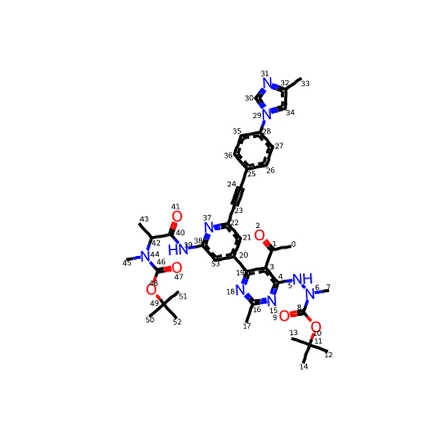 CC(=O)c1c(NN(C)C(=O)OC(C)(C)C)nc(C)nc1-c1cc(C#Cc2ccc(-n3cnc(C)c3)cc2)nc(NC(=O)C(C)N(C)C(=O)OC(C)(C)C)c1